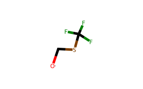 [O]CSC(F)(F)F